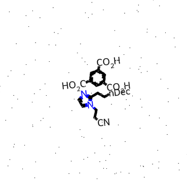 CCCCCCCCCCCCc1nccn1CCC#N.O=C(O)c1cc(C(=O)O)cc(C(=O)O)c1